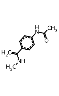 C=C(NC)c1ccc(NC(C)=O)cc1